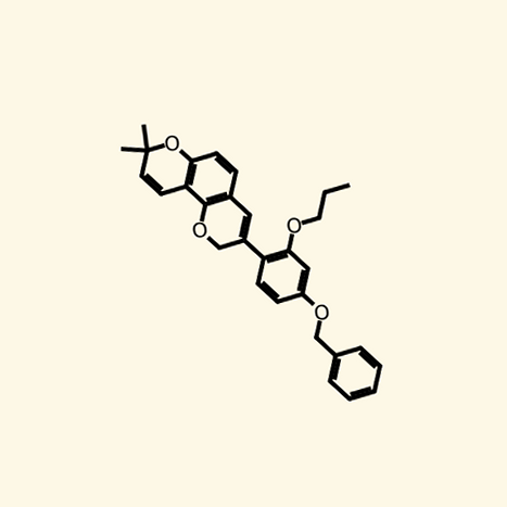 CCCOc1cc(OCc2ccccc2)ccc1C1=Cc2ccc3c(c2OC1)C=CC(C)(C)O3